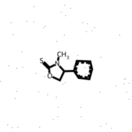 CN1C(=S)OCC1c1ccccc1